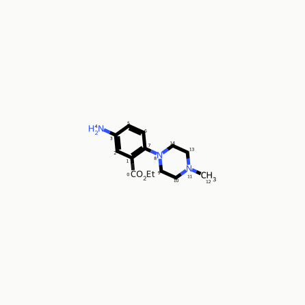 CCOC(=O)c1cc(N)ccc1N1CCN(C)CC1